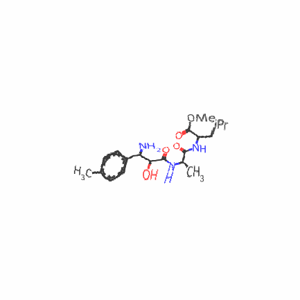 COC(=O)C(CC(C)C)NC(=O)C(C)NC(=O)C(O)C(N)c1ccc(C)cc1